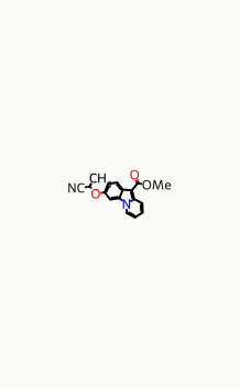 COC(=O)c1c2ccc(OC(C)C#N)cc2n2ccccc12